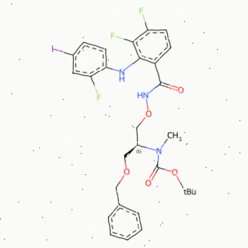 CN(C(=O)OC(C)(C)C)[C@@H](COCc1ccccc1)CONC(=O)c1ccc(F)c(F)c1Nc1ccc(I)cc1F